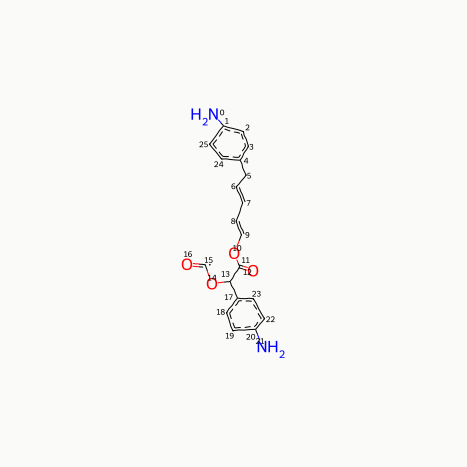 Nc1ccc(CC=CC=COC(=O)C(O[C]=O)c2ccc(N)cc2)cc1